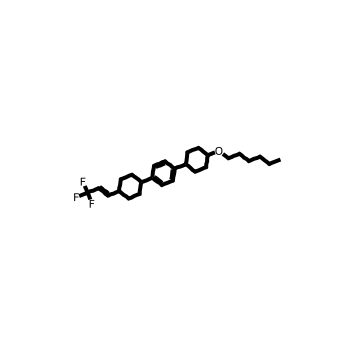 CCCCCCOC1CCC(c2ccc(C3CCC(C=CC(F)(F)F)CC3)cc2)CC1